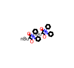 CCCCC1C(=O)N(c2ccccc2)N(c2ccccc2)C1=O.CCCCC1C(=O)N(c2ccccc2)N(c2ccccc2)C1=O